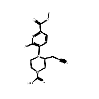 COC(=O)c1ccc(N2CCN(C(=O)O)CC2CC#N)c(F)n1